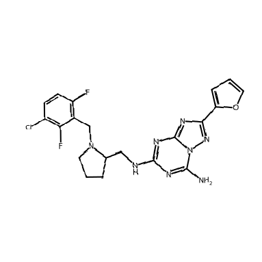 Nc1nc(NCC2CCCN2Cc2c(F)ccc(Cl)c2F)nc2nc(-c3ccco3)nn12